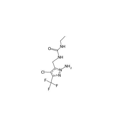 CCNC(=O)NCc1c(Cl)c(C(F)(F)F)nn1N